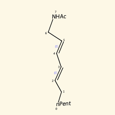 CCCCCC/C=C/C=C/CNC(C)=O